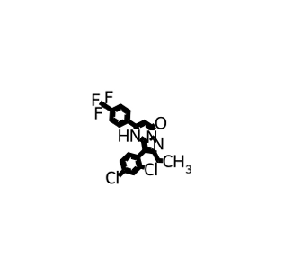 CCc1nn2c(=O)cc(-c3ccc(C(F)(F)F)cc3)[nH]c2c1-c1ccc(Cl)cc1Cl